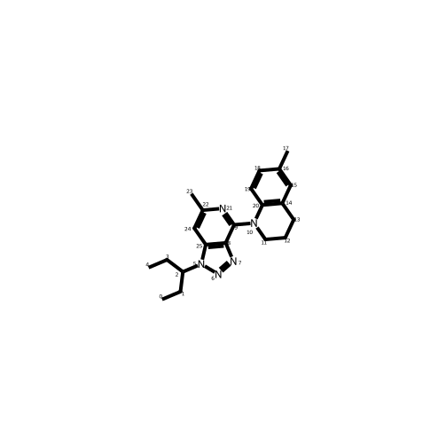 CCC(CC)n1nnc2c(N3CCCc4cc(C)ccc43)nc(C)cc21